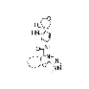 Cn1ncnc1C(=O)NC(C(=O)Nc1ccc2c(c1)NC(=O)C21CCOCC1)C1CCCCCCC1